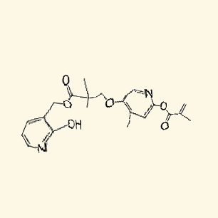 C=C(C)C(=O)Oc1cc(C)c(OCC(C)(C)C(=O)OCc2cccnc2O)cn1